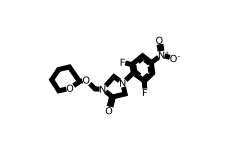 O=C1CN(c2c(F)cc([N+](=O)[O-])cc2F)CN1COC1CCCCO1